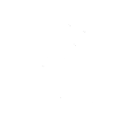 Cn1c2ccc(-n3c4ccccc4c4ccccc43)cc2c2cc(-n3c4ccccc4n4c5ccccc5nc34)ccc21